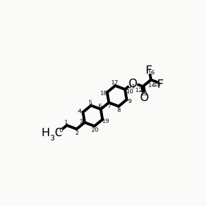 CCCC1CCC(C2CCC(OC(=O)C(F)F)CC2)CC1